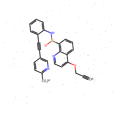 C#CCOc1ccnc2c([S+]([O-])Nc3ccccc3C#Cc3ccc(C(=O)O)nc3)cccc12